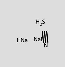 C#N.S.[NaH].[NaH]